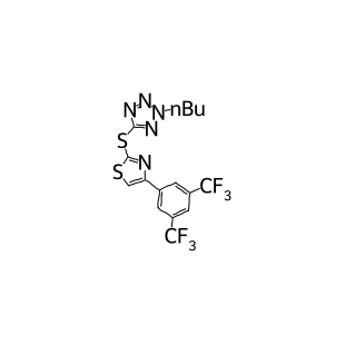 CCCCn1nnc(Sc2nc(-c3cc(C(F)(F)F)cc(C(F)(F)F)c3)cs2)n1